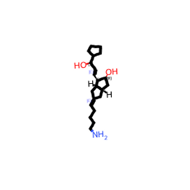 NCCCC/C=C1\C[C@H]2C[C@@H](O)[C@H](/C=C/[C@@H](O)C3CCCC3)[C@H]2C1